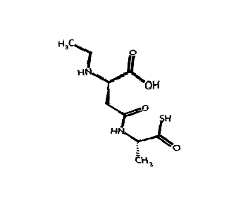 CCN[C@H](CC(=O)N[C@@H](C)C(=O)S)C(=O)O